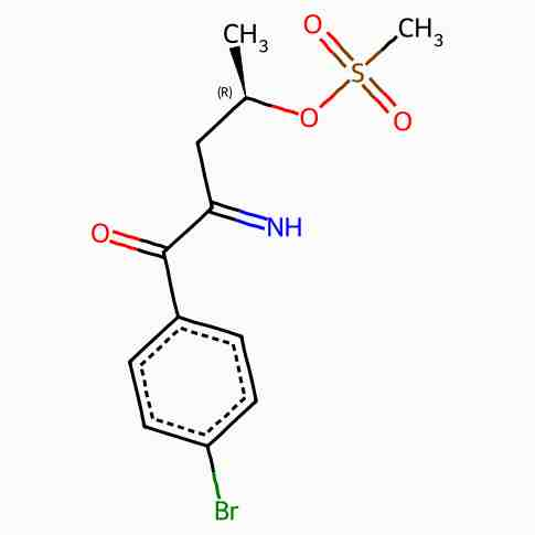 C[C@H](CC(=N)C(=O)c1ccc(Br)cc1)OS(C)(=O)=O